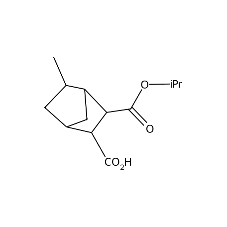 CC(C)OC(=O)C1C2CC(CC2C)C1C(=O)O